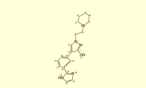 Oc1nn(CCN2CCCCC2)cc1-c1cccc(-c2ncc[nH]2)c1